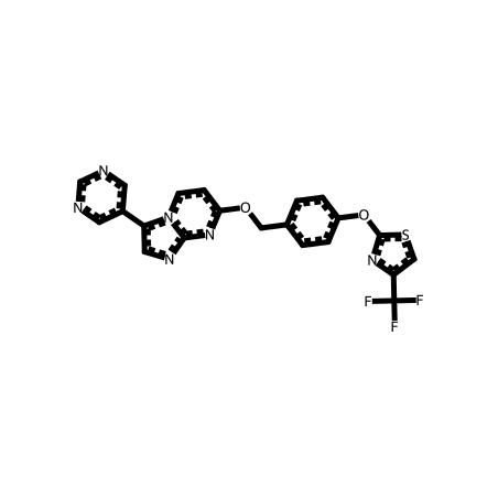 FC(F)(F)c1csc(Oc2ccc(COc3ccn4c(-c5cncnc5)cnc4n3)cc2)n1